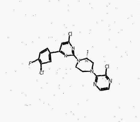 C[C@@H]1CN(c2nccnc2Cl)CCN1c1nc(Cl)cc(-c2ccc(F)c(Cl)c2)n1